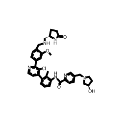 COc1cc(-c2nccc(-c3cccc(NC(=O)c4ccc(CN5CC[C@@H](O)C5)cn4)c3C)c2Cl)ccc1CNC[C@@H]1CCC(=O)N1